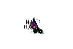 CC(C)CC(CNCCCC(c1ccc(F)cc1)c1ccc(F)cc1)N(C)C(=O)OC(C)(C)C